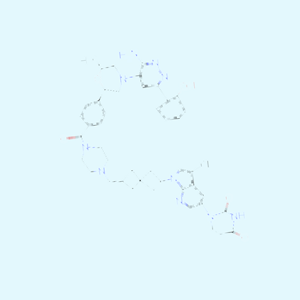 Cc1cn(C2CC3(CC(CN4CCN(C(=O)c5ccc([C@@H]6CN(c7cc(-c8ccccc8O)nnc7N)C[C@H](C)O6)cc5)CC4)C3)C2)c2ncc(N3CCC(=O)NC3=O)cc12